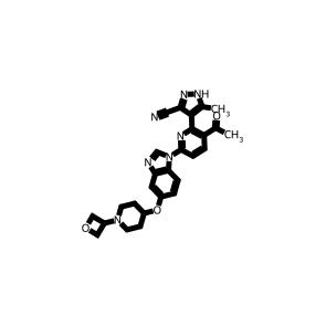 CC(=O)c1ccc(-n2cnc3cc(OC4CCN(C5COC5)CC4)ccc32)nc1-c1c(C#N)n[nH]c1C